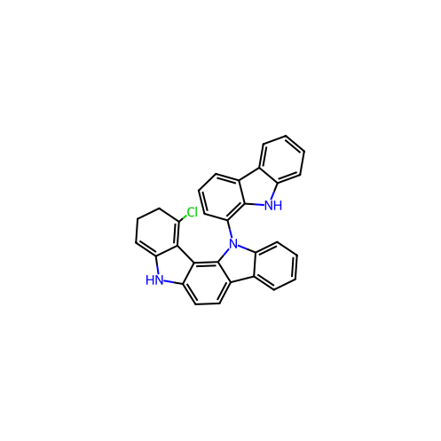 ClC1=c2c([nH]c3ccc4c5ccccc5n(-c5cccc6c5[nH]c5ccccc56)c4c23)=CCC1